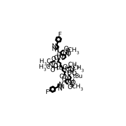 C[C@@H](C(=O)NC(CCCCC(NC(=O)[C@H](C)N(C)C(=O)OC(C)(C)C)C(=O)N1CC[C@@H]2[C@H]1[C@@H](Cn1cc(-c3ccc(F)cc3)nn1)CN2S(C)(=O)=O)C(=O)N1CC[C@@H]2[C@H]1[C@@H](Cn1cc(-c3ccc(F)cc3)nn1)CN2S(C)(=O)=O)N(C)C(=O)OC(C)(C)C